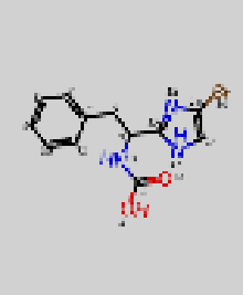 O=C(O)NC(Cc1ccccc1)c1nc(Br)c[nH]1